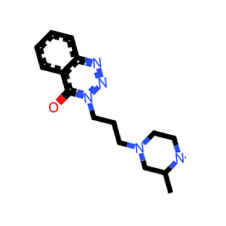 CC1CN(CCCn2nnc3ccccc3c2=O)CC[N]1